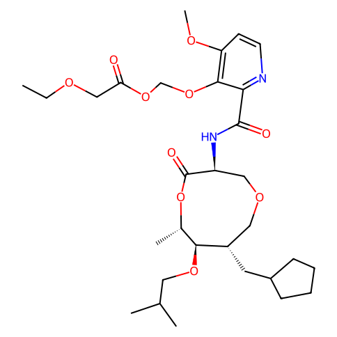 CCOCC(=O)OCOc1c(OC)ccnc1C(=O)N[C@H]1COC[C@H](CC2CCCC2)[C@@H](OCC(C)C)[C@H](C)OC1=O